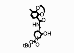 Cc1ccc(C(=O)NC[C@@H]2CCN(C(=O)OC(C)(C)C)CC2O)c2c1OCCCO2